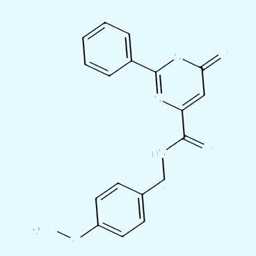 COOc1ccc([C@@H](C)NC(=O)c2cc(=O)[nH]c(-c3ccccc3)n2)cc1